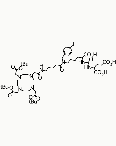 CC(C)(C)OC(=O)CN1CCN(CC(=O)NCCCCC(=O)N(CCCCC(NC(=O)NC(CCC(=O)O)C(=O)O)C(=O)O)Cc2ccc(I)cc2)CCN(CC(=O)OC(C)(C)C)CCN(CC(=O)OC(C)(C)C)CC1